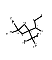 CCC(C)C1(C(F)(F)F)CC(F)(F)C1